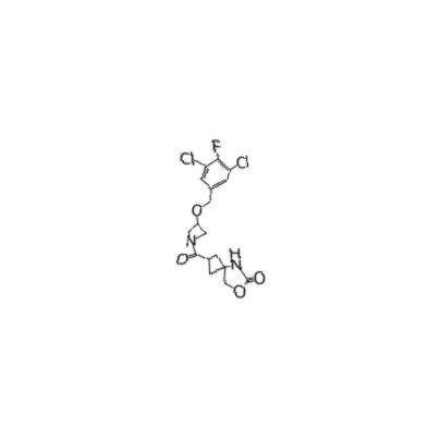 O=C1NC2(CO1)CC(C(=O)N1CC(OCc3cc(Cl)c(F)c(Cl)c3)C1)C2